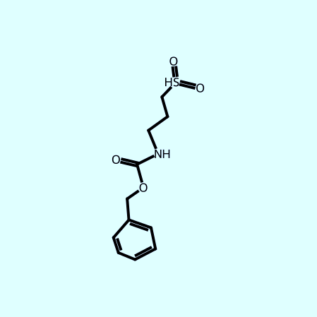 O=C(NCCC[SH](=O)=O)OCc1ccccc1